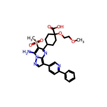 COCCOC1(C(=O)O)CCC(c2nc3c(-c4ccc(-c5ccccc5)nc4)cnn3c(N)c2S(C)(=O)=O)CC1